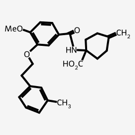 C=C1CCC(NC(=O)c2ccc(OC)c(OCCc3cccc(C)c3)c2)(C(=O)O)CC1